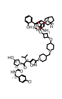 CC(C)[C@H](C(=O)N1C[C@H](O)C[C@H]1C(=O)N[C@@H](C)c1ccc(Cl)cc1)c1cc(N2CCC(CN3CCC(OC4CC(Oc5cc(N6C7CC[C@@H]6CN(c6cc(-c8ccccc8O)nnc6N)C7)ccn5)C4)CC3)CC2)no1